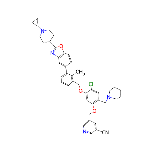 Cc1c(COc2cc(OCc3cncc(C#N)c3)c(CN3CCCCC3)cc2Cl)cccc1-c1ccc2oc(C3CCN(C4CC4)CC3)nc2c1